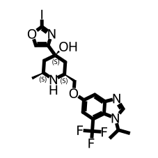 CC(C)n1cnc2cc(OC[C@@H]3C[C@](O)(c4coc(I)n4)C[C@H](C)N3)cc(C(F)(F)F)c21